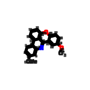 COc1ccc2c(c1)nc1c3c(cccc32)Oc2ccc(OC(F)(F)F)cc2-1